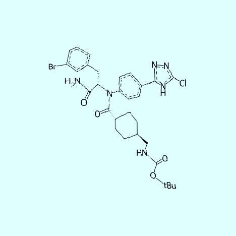 CC(C)(C)OC(=O)NC[C@H]1CC[C@H](C(=O)N(c2ccc(-c3nnc(Cl)[nH]3)cc2)[C@@H](Cc2cccc(Br)c2)C(N)=O)CC1